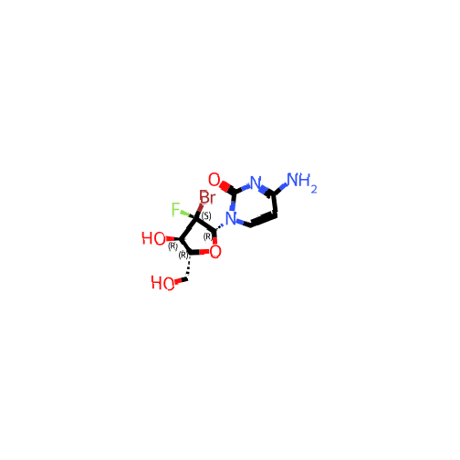 Nc1ccn([C@@H]2O[C@H](CO)[C@@H](O)[C@]2(F)Br)c(=O)n1